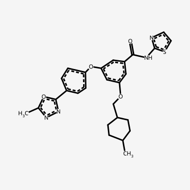 Cc1nnc(-c2ccc(Oc3cc(OCC4CCC(C)CC4)cc(C(=O)Nc4nccs4)c3)cc2)o1